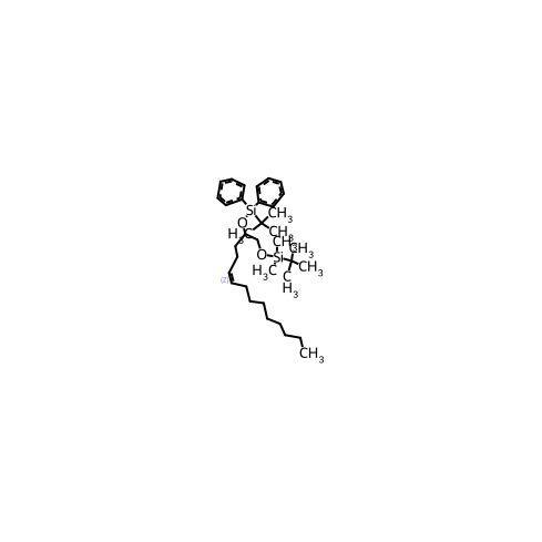 CCCCCCCC/C=C\CCC(CO[Si](C)(C)C(C)(C)C)O[Si](c1ccccc1)(c1ccccc1)C(C)(C)C